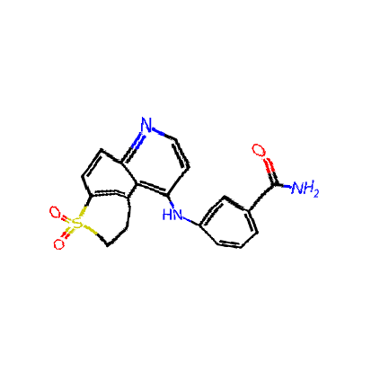 NC(=O)c1cccc(Nc2ccnc3ccc4c(c23)CCS4(=O)=O)c1